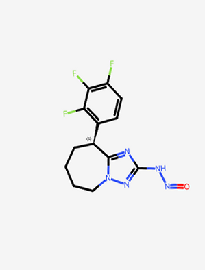 O=NNc1nc2n(n1)CCCC[C@H]2c1ccc(F)c(F)c1F